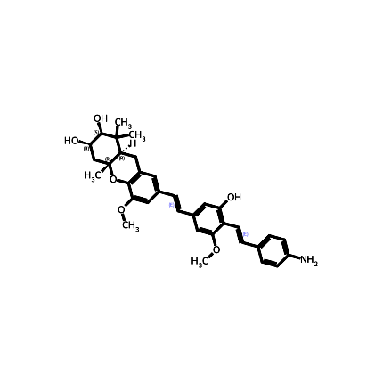 COc1cc(/C=C/c2cc3c(c(OC)c2)O[C@]2(C)C[C@@H](O)[C@@H](O)C(C)(C)[C@H]2C3)cc(O)c1/C=C/c1ccc(N)cc1